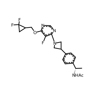 CC(=O)N[C@@H](C)c1ccc(C2CN(c3ncnc(OCC4CC4(F)F)c3F)C2)cc1